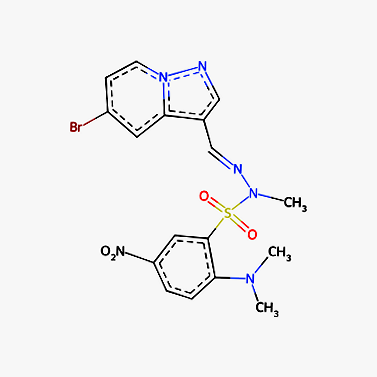 CN(C)c1ccc([N+](=O)[O-])cc1S(=O)(=O)N(C)N=Cc1cnn2ccc(Br)cc12